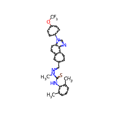 Cc1cccc(C)c1NC(=S)N(C)N=Cc1ccc2c(ccc3c2ncn3-c2ccc(OC(F)(F)F)cc2)c1